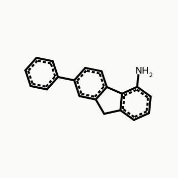 Nc1cccc2c1-c1ccc(-c3ccccc3)cc1C2